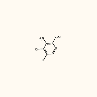 CNc1ncc(Br)c(Cl)c1N